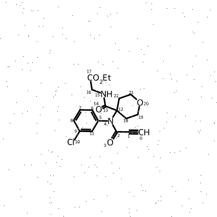 C#CC(=O)N(c1cccc(Cl)c1)C1(C(=O)NCC(=O)OCC)CCOCC1